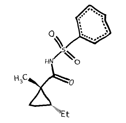 CC[C@@H]1C[C@]1(C)C(=O)NS(=O)(=O)c1ccccc1